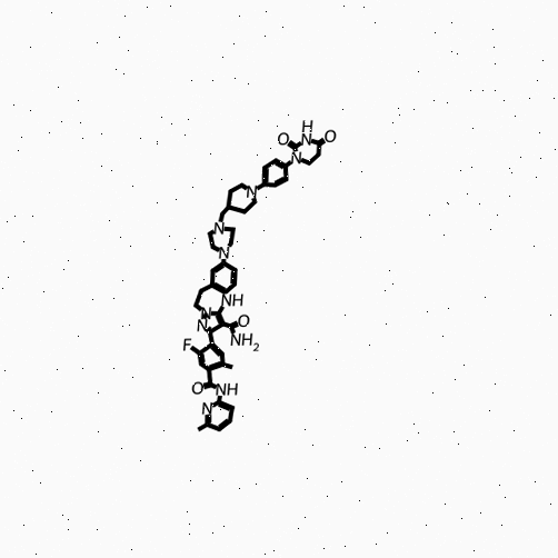 Cc1cccc(NC(=O)c2cc(F)c(-c3nn4c(c3C(N)=O)Nc3ccc(N5CCN(CC6CCN(c7ccc(N8CCC(=O)NC8=O)cc7)CC6)CC5)cc3CC4)cc2C)n1